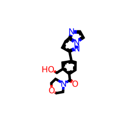 O=C(c1ccc(-c2ccc3nccn3n2)cc1CO)N1CCOCC1